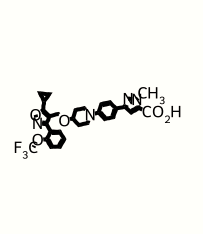 Cn1nc(-c2ccc(N3CCC(OCc4c(-c5ccccc5OC(F)(F)F)noc4C4CC4)CC3)cc2)cc1C(=O)O